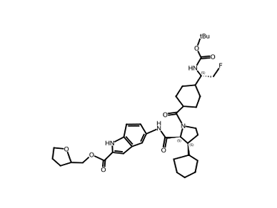 CC(C)(C)OC(=O)N[C@H](CF)C1CCC(C(=O)N2CC[C@@H](C3CCCCC3)[C@H]2C(=O)Nc2ccc3[nH]c(C(=O)OCC4CCCO4)cc3c2)CC1